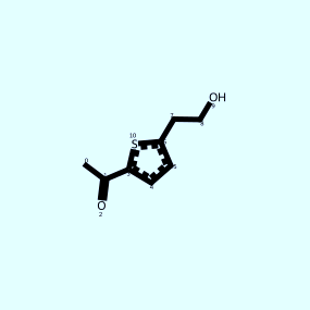 CC(=O)c1ccc(CCO)s1